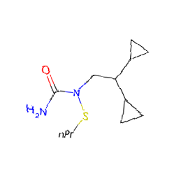 CCCSN(CC(C1CC1)C1CC1)C(N)=O